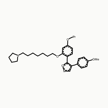 COc1ccc(-c2cnoc2-c2ccc(OC(C)C)cc2OCCCCCCCN2CCCC2)cc1